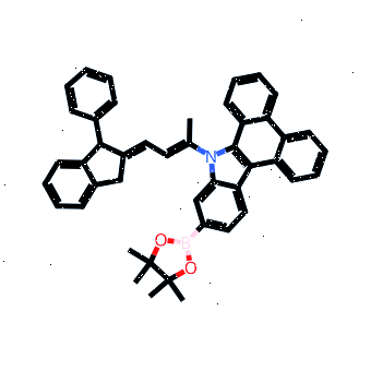 C/C(=C\C=C1/Cc2ccccc2C1c1ccccc1)n1c2cc(B3OC(C)(C)C(C)(C)O3)ccc2c2c3ccccc3c3ccccc3c21